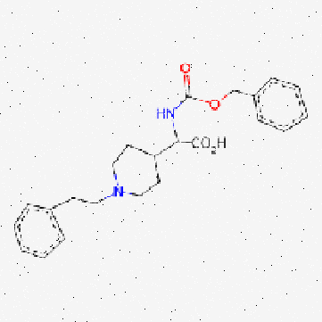 O=C(NC(C(=O)O)C1CCN(CCc2ccccc2)CC1)OCc1ccccc1